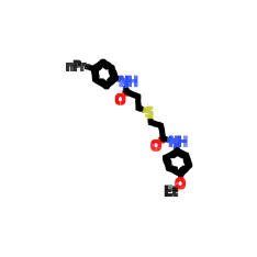 CCCc1ccc(NC(=O)CCSCCC(=O)Nc2ccc(OCC)cc2)cc1